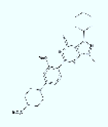 CCOC(=O)C1CCN(c2ccc(-c3nc4c(c(C5CCCCC5)nn4C)c(=O)[nH]3)c(OC)c2)CC1